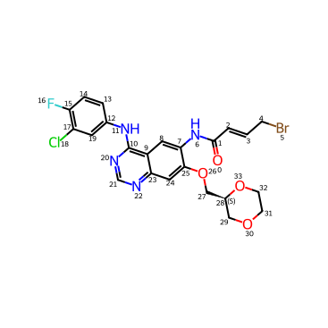 O=C(C=CCBr)Nc1cc2c(Nc3ccc(F)c(Cl)c3)ncnc2cc1OC[C@@H]1COCCO1